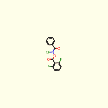 O=C(ON(Cl)C(=O)c1ccccc1)c1c(F)cccc1F